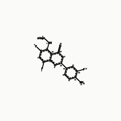 CCCCCCCNc1c(F)cc(F)c2oc(-c3ccc(N)c(F)c3)cc(=O)c12